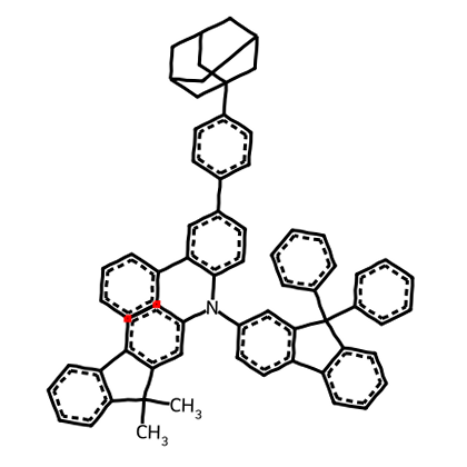 CC1(C)c2ccccc2-c2ccc(N(c3ccc4c(c3)C(c3ccccc3)(c3ccccc3)c3ccccc3-4)c3ccc(-c4ccc(C56CC7CC(CC(C7)C5)C6)cc4)cc3-c3ccccc3)cc21